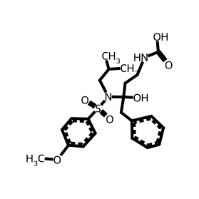 COc1ccc(S(=O)(=O)N(CC(C)C)C(O)(CCNC(=O)O)Cc2ccccc2)cc1